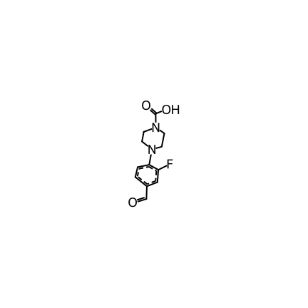 O=Cc1ccc(N2CCN(C(=O)O)CC2)c(F)c1